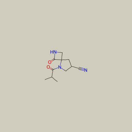 CC(C)C(=O)N1CC(C#N)CC12CNC2=O